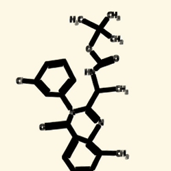 Cc1cccc2c(=O)n(-c3cccc(Cl)c3)c(C(C)NC(=O)OC(C)(C)C)nc12